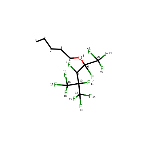 CCCCCOC(F)(C(F)C(F)(C(F)(F)F)C(F)(F)F)C(F)(F)F